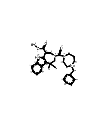 CC(C)OC(=O)C1=CN(C(=O)N2CCCN(Cc3ccccc3)CC2)CC(C)(C)c2c1[nH]c1ccccc21